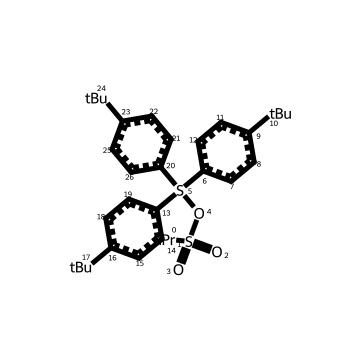 CCCS(=O)(=O)OS(c1ccc(C(C)(C)C)cc1)(c1ccc(C(C)(C)C)cc1)c1ccc(C(C)(C)C)cc1